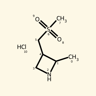 CC1NCC1CS(C)(=O)=O.Cl